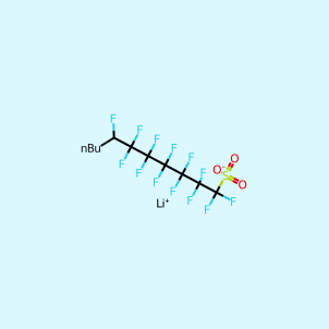 CCCCC(F)C(F)(F)C(F)(F)C(F)(F)C(F)(F)C(F)(F)C(F)(F)S(=O)(=O)[O-].[Li+]